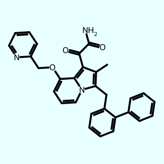 Cc1c(C(=O)C(N)=O)c2c(OCc3ccccn3)cccn2c1Cc1ccccc1-c1ccccc1